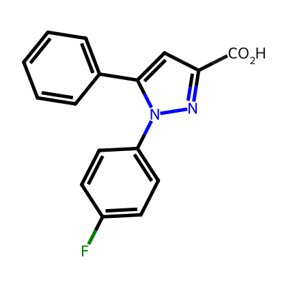 O=C(O)c1cc(-c2ccccc2)n(-c2ccc(F)cc2)n1